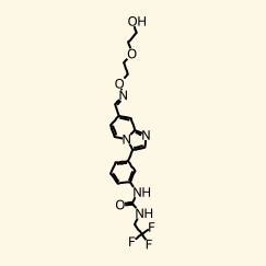 O=C(NCC(F)(F)F)Nc1cccc(-c2cnc3cc(C=NOCCOCCO)ccn23)c1